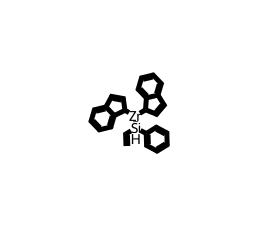 C=C[SiH](c1ccccc1)[Zr]([CH]1C=Cc2ccccc21)[CH]1C=Cc2ccccc21